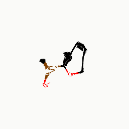 C[S+]([O-])C1=CC=CCO1